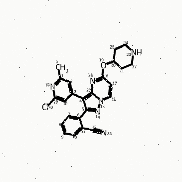 Cc1cc(-c2c(-c3ccccc3C#N)nn3ccc(OC4CCNCC4)nc23)cc(Cl)n1